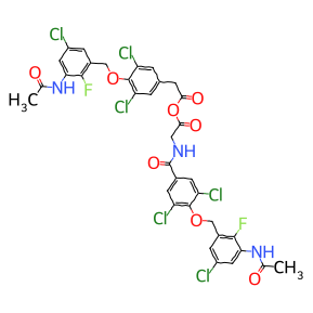 CC(=O)Nc1cc(Cl)cc(COc2c(Cl)cc(CC(=O)OC(=O)CNC(=O)c3cc(Cl)c(OCc4cc(Cl)cc(NC(C)=O)c4F)c(Cl)c3)cc2Cl)c1F